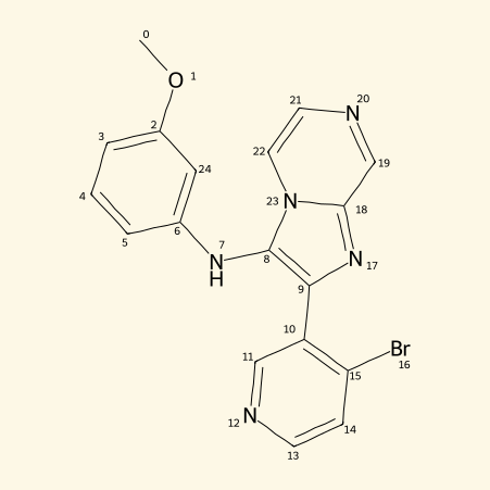 COc1cccc(Nc2c(-c3cnccc3Br)nc3cnccn23)c1